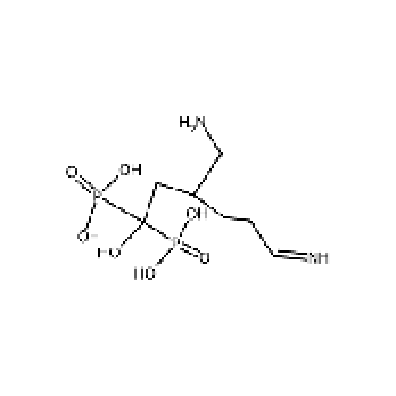 N=CCCC(CN)CC(O)(P(=O)(O)O)P(=O)(O)O